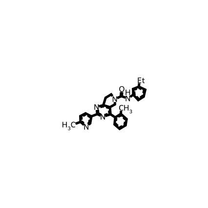 CCc1cccc(NC(=O)N2CCc3nc(-c4ccc(C)nc4)nc(-c4ccccc4C)c3C2)c1